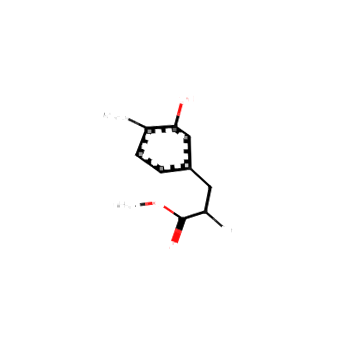 CCCCCCOC(=O)C(CC)Cc1ccc(OC)c(O)c1